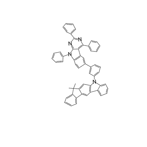 CC1(C)c2ccccc2-c2cc3c4ccccc4n(-c4cccc(-c5ccc6c(c5)c5c(-c7ccccc7)nc(-c7ccccc7)nc5n6-c5ccccc5)c4)c3cc21